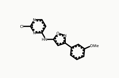 COc1cccc(-c2cc(Nc3ccnc(Cl)n3)on2)c1